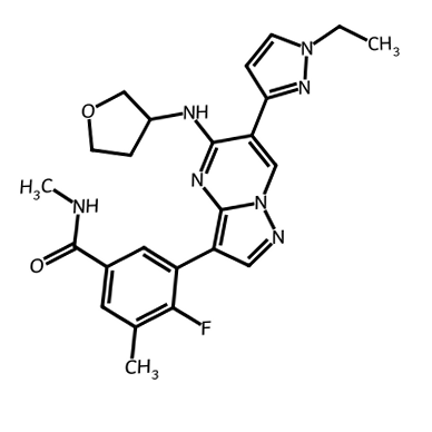 CCn1ccc(-c2cn3ncc(-c4cc(C(=O)NC)cc(C)c4F)c3nc2NC2CCOC2)n1